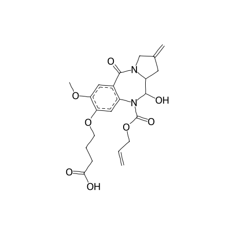 C=CCOC(=O)N1c2cc(OCCCC(=O)O)c(OC)cc2C(=O)N2CC(=C)CC2C1O